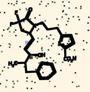 CC(Cc1ccccc1)[C@H](O)/C=C/C1CC(F)(F)C(=O)N1CCCc1ccc(C(=O)O)s1